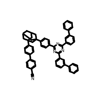 N#Cc1ccc(-c2ccc(C34CC5CC(C3)CC(c3ccc(-c6nc(-c7cccc(-c8ccccc8)c7)nc(-c7cccc(-c8ccccc8)c7)n6)cc3)(C5)C4)cc2)cc1